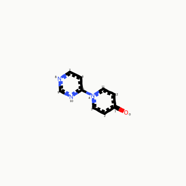 O=c1ccn(-c2ccncn2)cc1